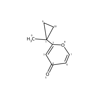 CC1(c2cc(=O)cco2)CC1